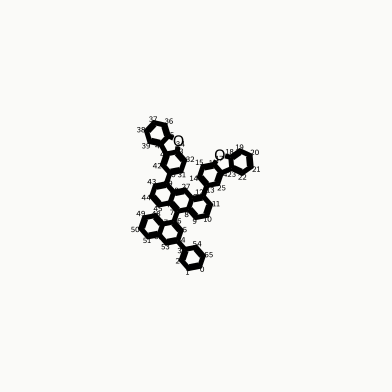 c1ccc(-c2cc(-c3c4cccc(-c5ccc6oc7ccccc7c6c5)c4cc4c(-c5ccc6oc7ccccc7c6c5)cccc34)c3ccccc3c2)cc1